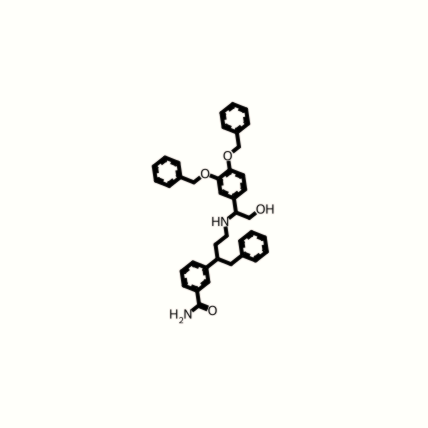 NC(=O)c1cccc(C(CCNC(CO)c2ccc(OCc3ccccc3)c(OCc3ccccc3)c2)Cc2ccccc2)c1